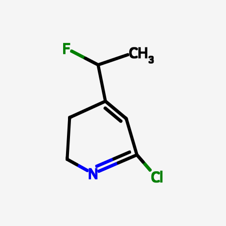 CC(F)C1=CC(Cl)=NCC1